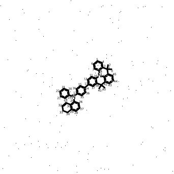 CC1(C)c2ccccc2N2c3ccc(-c4ccc(N(c5ccccc5)c5cccc6c5C=CCC6)cc4)cc3C(C)(C)c3cccc1c32